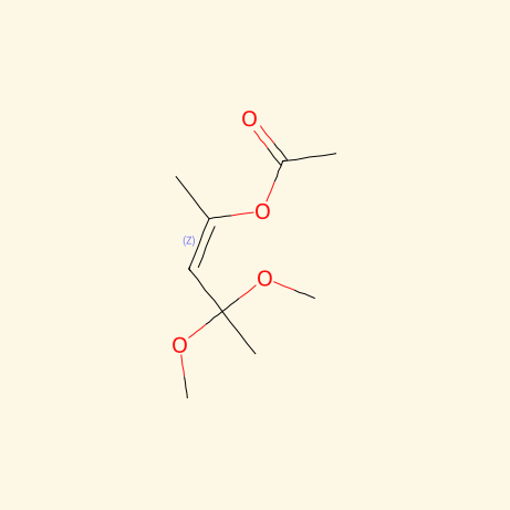 COC(C)(/C=C(/C)OC(C)=O)OC